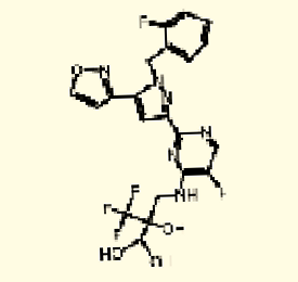 OC(O)C(O)(CNc1nc(-c2cc(-c3ccon3)n(Cc3ccccc3F)n2)ncc1F)C(F)(F)F